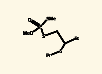 CCC(CSP(=O)(OC)SC)SC(C)C